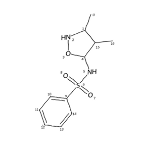 CC1NOC(NS(=O)(=O)c2cc[c]cc2)C1C